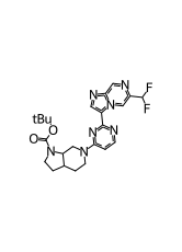 CC(C)(C)OC(=O)N1CCC2CCN(c3ccnc(-c4cnc5cnc(C(F)F)cn45)n3)CC21